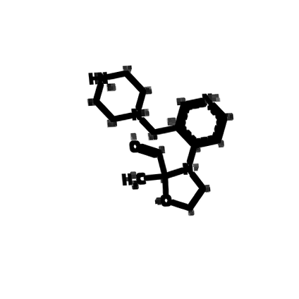 CC1(C=O)OCCN1c1ccncc1CN1CCNCC1